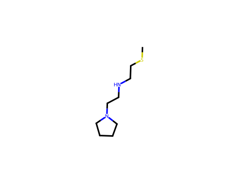 CSCCNCCN1CCCC1